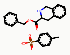 Cc1ccc(S(=O)(=O)O)cc1.O=C(OCc1ccccc1)C1Cc2ccccc2CN1